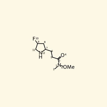 CON(C)C(=O)CCC1CC(F)CN1